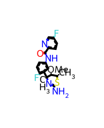 CO[C@H]1[C@@H](C)SC(N)=N[C@]1(C)c1cc(NC(=O)c2ccc(F)cn2)ccc1F